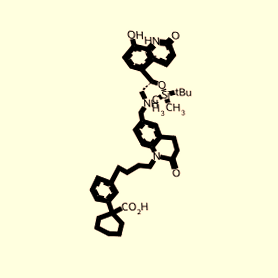 CC(C)(C)[Si](C)(C)O[C@H](CNCc1ccc2c(c1)CCC(=O)N2CCCCc1cccc(C2(C(=O)O)CCCCC2)c1)c1ccc(O)c2[nH]c(=O)ccc12